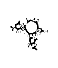 COC1(C)C[C@H](OC2C(C)C(=O)N[C@H](CC(=O)O)CC(=O)N(C)C[C@H](C)C[C@@](C)(O)[C@H](OC3OC(C)C[C@H](N(C)C)[C@H]3O)[C@H]2C)OC(C)[C@@H]1OC(C)=O